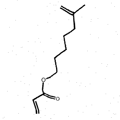 C=CC(=O)OCCCCCC(=C)C